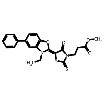 CCN1/C(=C2\SC(=S)N(CCC(=O)OC)C2=O)Oc2ccc(-c3ccccc3)cc21